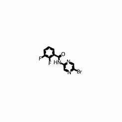 O=C(Nc1cnc(Br)cn1)c1cccc(F)c1F